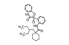 CCC(CC)CC1(C(=O)Nc2ccccc2[C@@](Cl)(Oc2ccccc2)C(=O)S)CCCCC1